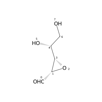 O=C[C@H]1O[C@H]1[C@H](O)CO